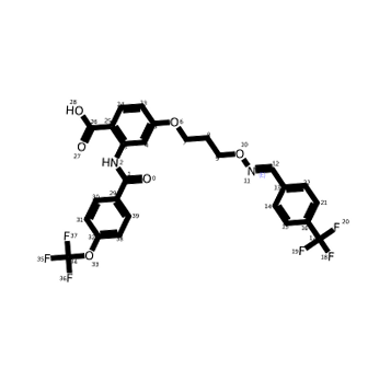 O=C(Nc1cc(OCCCO/N=C/c2ccc(C(F)(F)F)cc2)ccc1C(=O)O)c1ccc(OC(F)(F)F)cc1